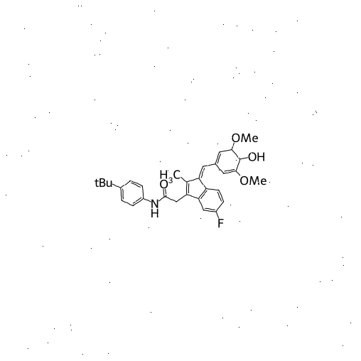 COC1=CC(/C=C2/C(C)=C(CC(=O)Nc3ccc(C(C)(C)C)cc3)c3cc(F)ccc32)=CC(OC)C1O